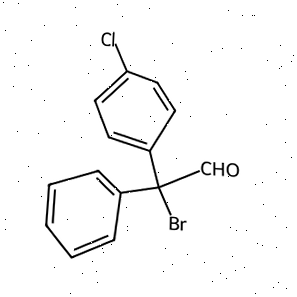 O=CC(Br)(c1ccccc1)c1ccc(Cl)cc1